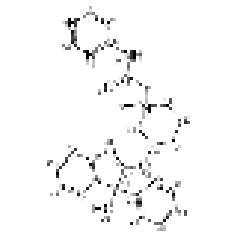 C[N@@+]1(CC(=O)Nc2ccncn2)CCCC(OC(=O)C(O)(c2ccccc2)c2ccccc2)C1